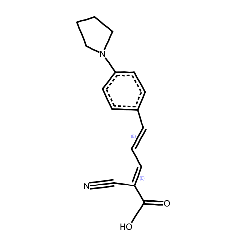 N#C/C(=C\C=C\c1ccc(N2CCCC2)cc1)C(=O)O